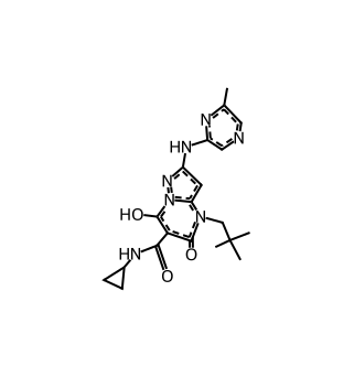 Cc1cncc(Nc2cc3n(CC(C)(C)C)c(=O)c(C(=O)NC4CC4)c(O)n3n2)n1